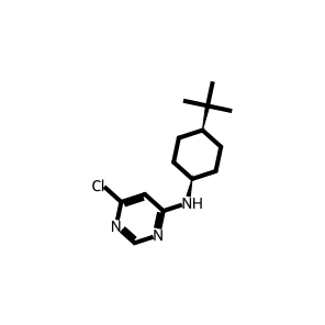 CC(C)(C)[C@H]1CC[C@@H](Nc2cc(Cl)ncn2)CC1